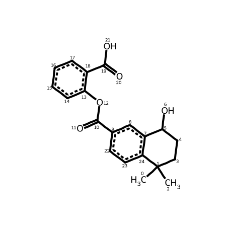 CC1(C)CCC(O)c2cc(C(=O)Oc3ccccc3C(=O)O)ccc21